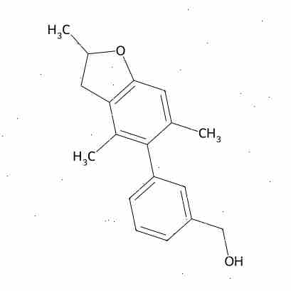 Cc1cc2c(c(C)c1-c1cccc(CO)c1)CC(C)O2